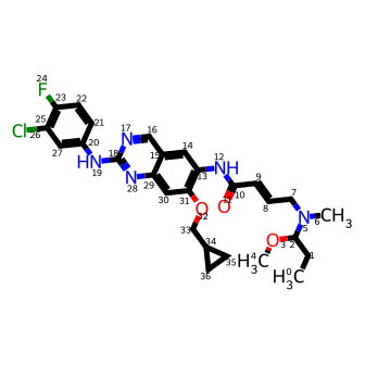 CCC(OC)N(C)CC=CC(=O)Nc1cc2cnc(Nc3ccc(F)c(Cl)c3)nc2cc1OCC1CC1